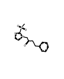 CS(=O)(=O)c1nccn1CC(=O)CCc1ccccc1